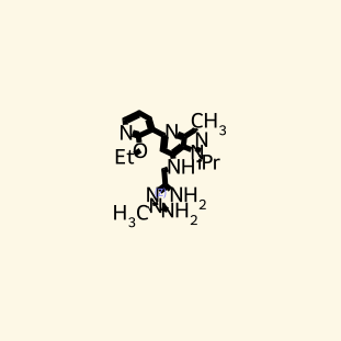 CCOc1ncccc1-c1cc(NC/C(N)=N/N(C)N)c2c(n1)c(C)nn2C(C)C